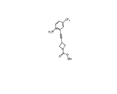 CC(C)(C)OC(=O)N1CC(C#Cc2cc(C(F)(F)F)cc[n+]2N)C1